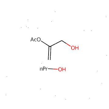 C=C(CO)OC(C)=O.CCCO